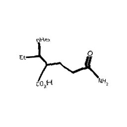 CCCCCCC(CC)C(CCC(N)=O)C(=O)O